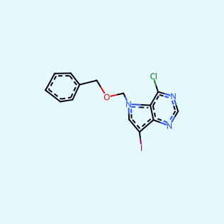 Clc1ncnc2c(I)cn(COCc3ccccc3)c12